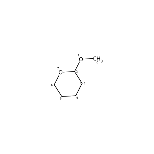 COC1[C]CCCO1